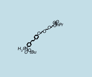 CCCS(=O)(=O)OCCOCCOCCOc1ccc(C=Cc2ccc(N(C)C(=O)OC(C)(C)C)cc2)cc1